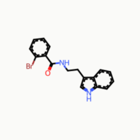 O=C(NCCc1c[nH]c2ccccc12)c1ccccc1Br